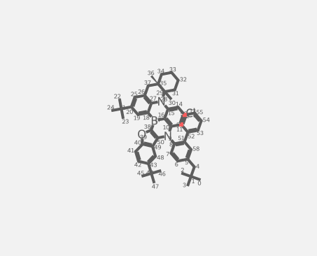 CC(C)(C)Cc1ccc(N2c3cc(Cl)cc4c3B(c3cc(C(C)(C)C)cc5c3N4C3(C)CCCC[C@@]3(C)C5)c3oc4ccc(C(C)(C)C)cc4c32)c(-c2ccccc2)c1